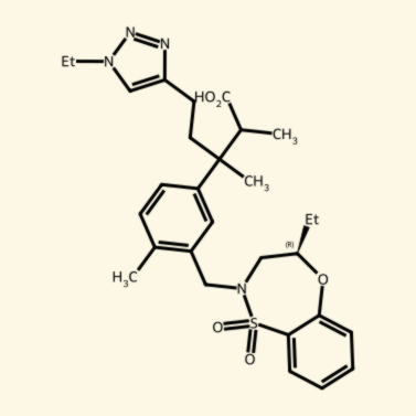 CC[C@@H]1CN(Cc2cc(C(C)(CCc3cn(CC)nn3)C(C)C(=O)O)ccc2C)S(=O)(=O)c2ccccc2O1